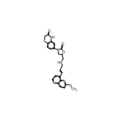 COc1ccc2nccc(C=CCNCC3CN(c4ccc5c(c4)NC(=O)CS5)C(=O)O3)c2n1